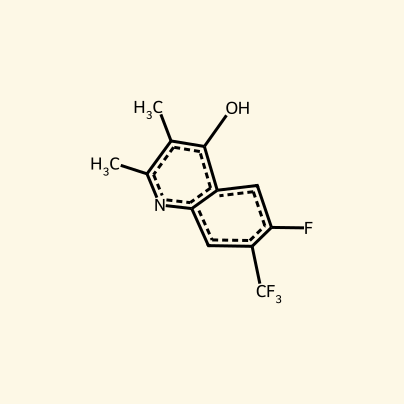 Cc1nc2cc(C(F)(F)F)c(F)cc2c(O)c1C